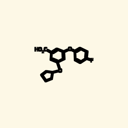 O=C(O)c1cc(Oc2ccc(F)cc2)cc(OC2CCCC2)c1